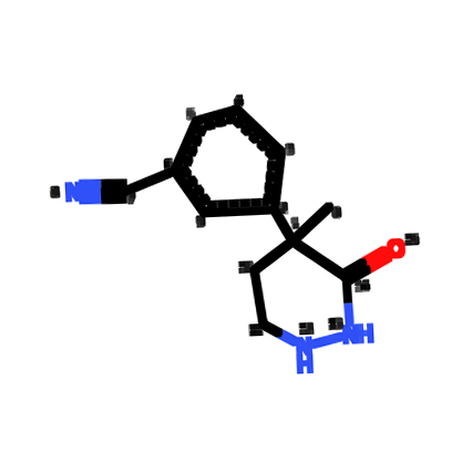 CC1(c2cccc(C#N)c2)CCNNC1=O